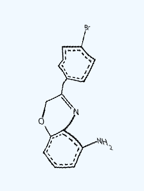 Nc1cccc2c1N=C(c1ccc(Br)cc1)CO2